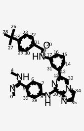 C/N=C(/NC)c1ccc(Nc2nc(-c3cccc(NC(=O)c4ccc(C(C)(C)C)cc4)c3)cn3ccnc23)cc1